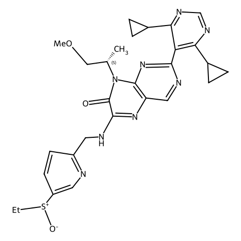 CC[S+]([O-])c1ccc(CNc2nc3cnc(-c4c(C5CC5)ncnc4C4CC4)nc3n([C@@H](C)COC)c2=O)nc1